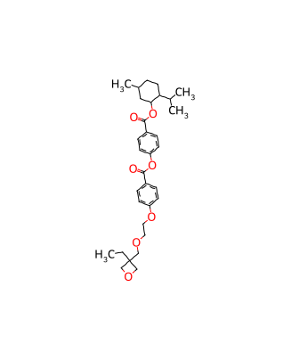 CCC1(COCCOc2ccc(C(=O)Oc3ccc(C(=O)OC4CC(C)CCC4C(C)C)cc3)cc2)COC1